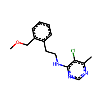 COCc1ccccc1CCNc1ncnc(C)c1Cl